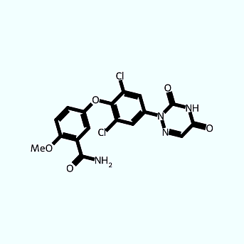 COc1ccc(Oc2c(Cl)cc(-n3ncc(=O)[nH]c3=O)cc2Cl)cc1C(N)=O